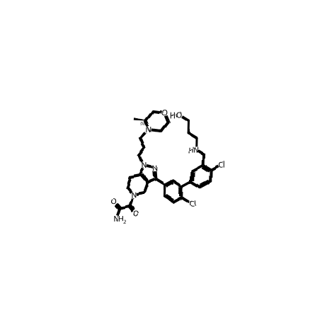 C[C@H]1COCCN1CCCn1nc(-c2ccc(Cl)c(-c3ccc(Cl)c(CNCCCO)c3)c2)c2c1CCN(C(=O)C(N)=O)C2